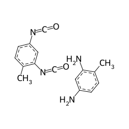 Cc1ccc(N)cc1N.Cc1ccc(N=C=O)cc1N=C=O